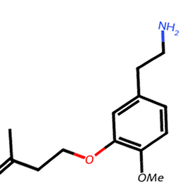 C=C(C)CCOc1cc(CCN)ccc1OC